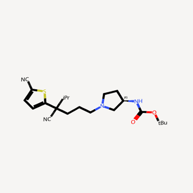 CC(C)C(C#N)(CCCN1CC[C@@H](NC(=O)OC(C)(C)C)C1)c1ccc(C#N)s1